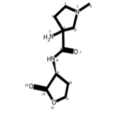 CN1CCC(N)(C(=O)N[C@H]2CCOC2=O)C1